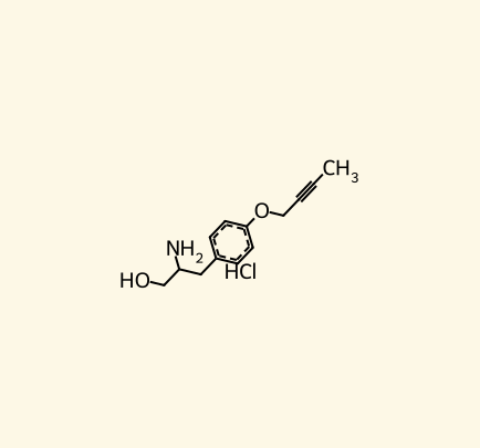 CC#CCOc1ccc(CC(N)CO)cc1.Cl